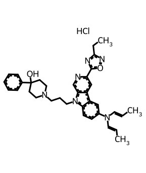 CC=CN(C=CC)c1ccc2c(c1)c1cc(-c3nc(CC)no3)ncc1n2CCCN1CCC(O)(c2ccccc2)CC1.Cl